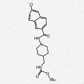 CC(C)(C)OC(=O)NCC1CCN(NC(=O)c2ccc3cc(Cl)ccc3n2)CC1